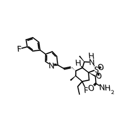 CCC1(F)C[C@]2(CC(N)=O)[C@H]([C@@H](/C=C/c3ccc(-c4cccc(F)c4)cn3)[C@@H]1C)[C@@H](C)NS2(=O)=O